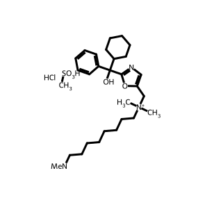 CNCCCCCCCC[N+](C)(C)Cc1cnc(C(O)(c2ccccc2)C2CCCCC2)o1.CS(=O)(=O)O.Cl